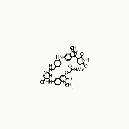 CNC(=O)COc1cc2cc(Nc3nc(NCC4CCC(Nc5ccc6c(C7CCC(=O)NC7=O)nn(C)c6c5)CC4)ncc3Cl)ccc2n(C)c1=O